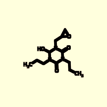 CCCN1C(=O)N(CCC)C(O)N(CC2CO2)C1=O